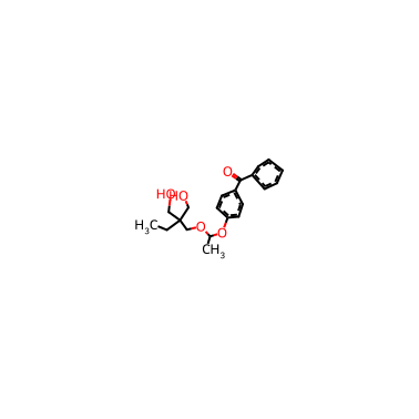 CCC(CO)(CO)COC(C)Oc1ccc(C(=O)c2ccccc2)cc1